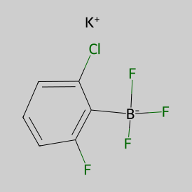 Fc1cccc(Cl)c1[B-](F)(F)F.[K+]